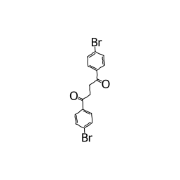 O=C(CCC(=O)c1ccc(Br)cc1)c1ccc(Br)cc1